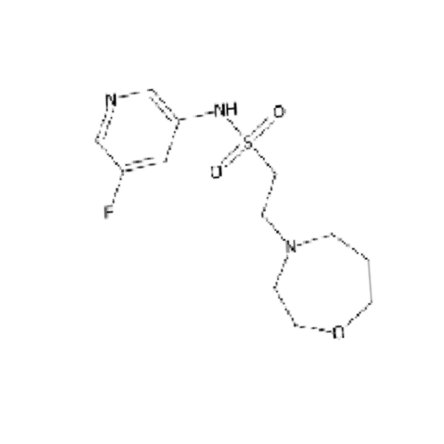 O=S(=O)(CCN1CCCOCC1)Nc1cncc(F)c1